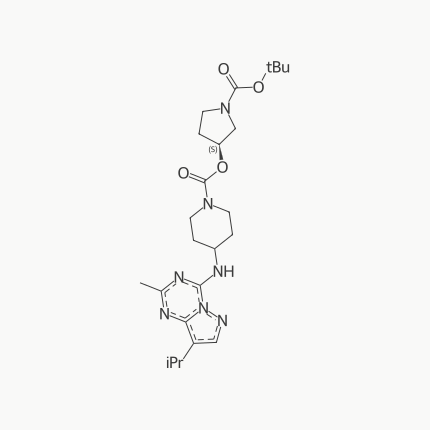 Cc1nc(NC2CCN(C(=O)O[C@H]3CCN(C(=O)OC(C)(C)C)C3)CC2)n2ncc(C(C)C)c2n1